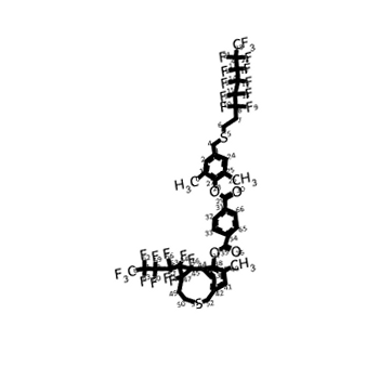 Cc1cc(CSCCC(F)(F)C(F)(F)C(F)(F)C(F)(F)C(F)(F)C(F)(F)F)cc(C)c1OC(=O)c1ccc(C(=O)Oc2c(C)cc3cc2C2(F)C(F)(CCSC3)C2(F)C(F)(F)C(F)(F)C(F)(F)C(F)(F)F)cc1